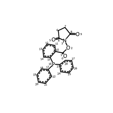 O=C(ON1C(=O)CCC1=O)c1ccccc1P(c1ccccc1)c1ccccc1